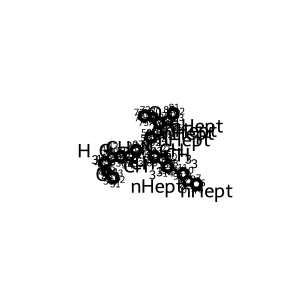 CCCCCCCC1(CCCCCCC)c2ccccc2-c2ccc(-c3ccc4c(c3)C(C)(C)c3cc(N(c5ccc6c(c5)C(C)(C)c5cc7c(cc5-6)C(C)(C)c5ccc6oc8ccccc8c6c5-7)c5ccc6c(c5)C(CCCCCCC)(CCCCCCC)c5c7c(c8oc9ccccc9c8c5-6)-c5ccccc5C7(CCCCCCC)CCCCCCC)ccc3-4)cc21